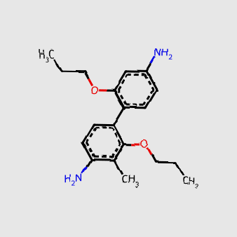 CCCOc1cc(N)ccc1-c1ccc(N)c(C)c1OCCC